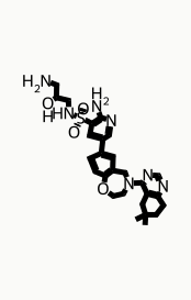 CC1(C)CCc2ncnc(N3CCOc4ccc(-c5cnc(N)c(S(=O)(=O)NCC(O)CN)c5)cc4C3)c2C1